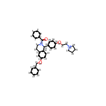 O=C(c1ccccc1)N1CCc2cc(OCc3ccccc3)ccc2C1c1ccc(OCCN2CCCC2)cc1